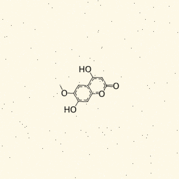 COc1cc2c(O)cc(=O)oc2cc1O